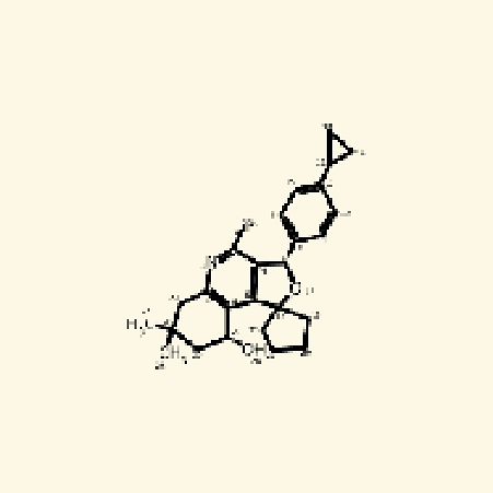 CC(C)c1nc2c(c3c1[C@@H](c1ccc(C4CC4)cc1)OC31CCCC1)[C@@H](O)CC(C)(C)C2